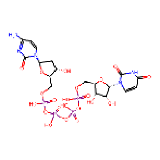 Nc1ccn([C@H]2C[C@H](O)C(COP(=O)(O)OP(=O)(O)OP(=O)(O)OP(=O)(O)OC[C@H]3O[C@H](n4ccc(=O)[nH]c4=O)[C@H](O)[C@@H]3O)O2)c(=O)n1